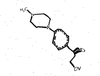 CN1CCN(c2ccc(C(=O)CC#N)cc2)CC1